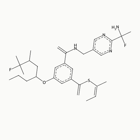 C=C(NCc1cnc(C(C)(N)F)nc1)c1cc(OC(CCC)CC(C)C(C)(C)F)cc(C(=C)S/C(C)=C\C)c1